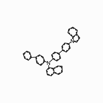 c1ccc(-c2ccc(N(c3ccc(-c4ccc(-n5ccc6ccccc65)cc4)cc3)c3cccc4ccccc34)cc2)cc1